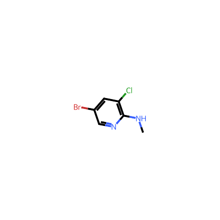 CNc1ncc(Br)cc1Cl